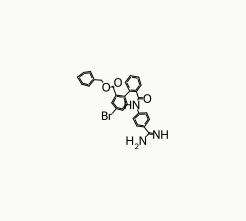 N=C(N)c1ccc(NC(=O)c2ccccc2-c2ccc(Br)cc2C(=O)OCc2ccccc2)cc1